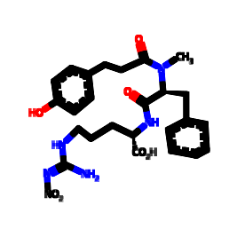 CN(C(=O)CCc1ccc(O)cc1)[C@@H](Cc1ccccc1)C(=O)N[C@@H](CCCNC(N)=N[N+](=O)[O-])C(=O)O